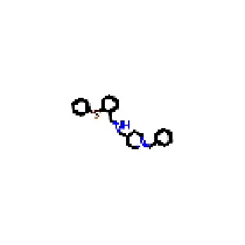 c1ccc(CN2CCC(CNCc3ccccc3Sc3ccccc3)CC2)cc1